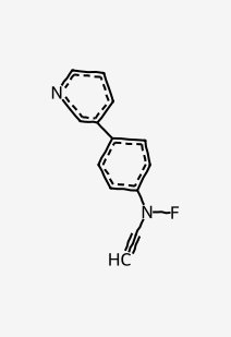 C#CN(F)c1ccc(-c2cccnc2)cc1